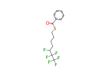 O=C(SCCCCC(F)C(F)(F)C(F)(F)F)c1ccccc1